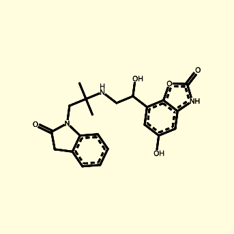 CC(C)(CN1C(=O)Cc2ccccc21)NCC(O)c1cc(O)cc2[nH]c(=O)oc12